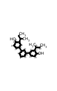 CCC(C)c1cc(-c2cccc(-c3ccc(O)c(C(C)CC)c3)c2)ccc1O